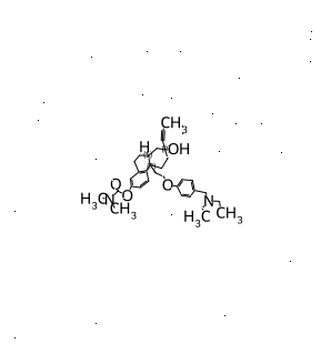 CC#C[C@@]1(O)CC[C@]2(CCOc3ccc(CN(CC)CC)cc3)c3ccc(OC(=O)N(C)C)cc3CC[C@H]2C1